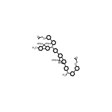 CCCCCCC1(CCCCCC)c2cc(-c3ccc(N(C)c4cccc(-c5cccc(OCC6CO6)c5)c4)cc3)ccc2-c2ccc(-c3ccc(N(c4cccc(-c5cccc(OCC6CO6)c5)c4)c4ccc5c(c4)C(CCCCCC)(CCCCCC)c4cc(C)ccc4-5)cc3)cc21